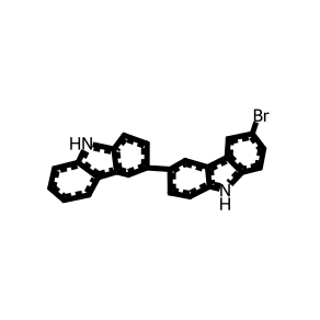 Brc1ccc2[nH]c3ccc(-c4ccc5[nH]c6ccccc6c5c4)cc3c2c1